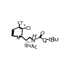 CC(=O)N[C@@H](CNC(=O)OC(C)(C)C)c1nccc(C(F)(F)F)c1Cl